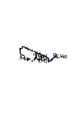 COC(=O)CCCC/C=C\C/C=C\CCCCCCCCC(CCCCCCCC/C=C\C/C=C\CCCCC(=O)OC)OC(=O)CC(C)(C)CC(C)CN(C)C